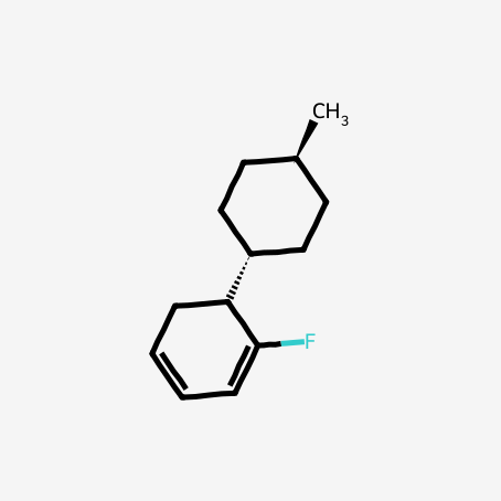 C[C@H]1CC[C@H](C2CC=CC=C2F)CC1